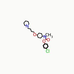 CN(C(=O)Oc1ccc(Cl)cc1)C1CCC(OCCCCN2CCCCC2)CC1